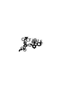 C=CCOC(=O)N1C[C@@H](COCc2cccc(C3CCC(F)(F)CC3)c2C(=O)OC(C)(C)C)C2(C1)CN(C(=O)C1(C(F)(F)F)CC1)C2